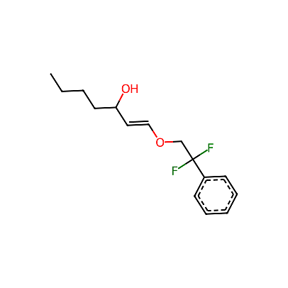 CCCCC(O)C=COCC(F)(F)c1ccccc1